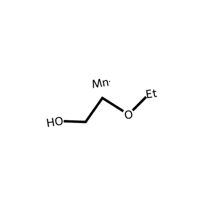 CCOCCO.[Mn]